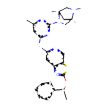 CCN1C[C@@H]2C[C@H]1CN2c1nc(C)cc(Nc2cc3nc(OC(C)c4ccccc4)sc3cn2)n1